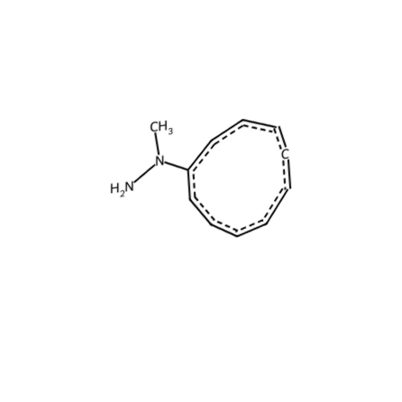 CN(N)c1ccccccccc1